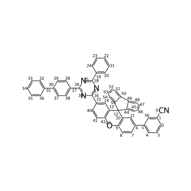 N#Cc1cccc(-c2ccc3c(c2)C2(c4cc(-c5nc(-c6ccccc6)nc(-c6ccc(-c7ccccc7)cc6)n5)ccc4O3)c3ccccc3-c3ccccc32)c1